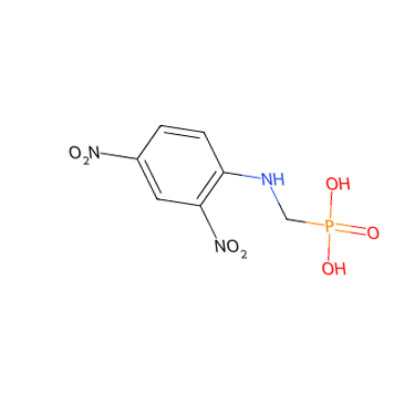 O=[N+]([O-])c1ccc(NCP(=O)(O)O)c([N+](=O)[O-])c1